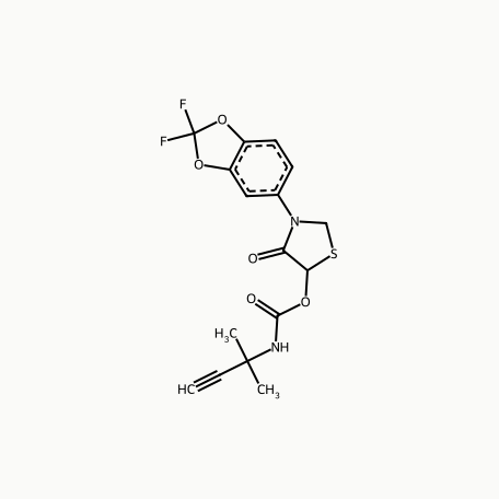 C#CC(C)(C)NC(=O)OC1SCN(c2ccc3c(c2)OC(F)(F)O3)C1=O